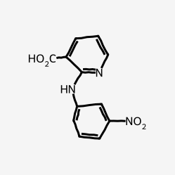 O=C(O)c1cccnc1Nc1cccc([N+](=O)[O-])c1